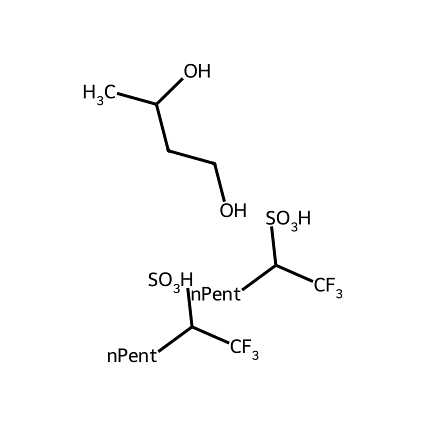 CC(O)CCO.CCCCCC(C(F)(F)F)S(=O)(=O)O.CCCCCC(C(F)(F)F)S(=O)(=O)O